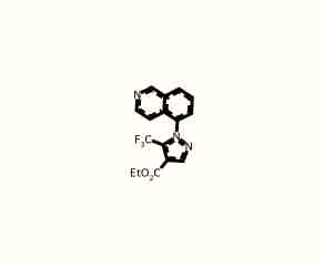 CCOC(=O)c1cnn(-c2cccc3cnccc23)c1C(F)(F)F